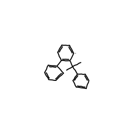 CC(C)(c1ccccc1)c1[c]cccc1-c1ccccc1